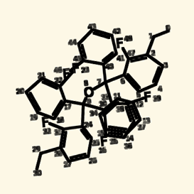 CCc1cccc(C(OC(c2ccccc2F)(c2ccccc2F)c2cccc(CC)c2F)(c2ccccc2F)c2ccccc2F)c1F